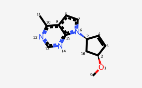 CO[C@@H]1C=C[C@H](n2ccc3c(C)ncnc32)C1